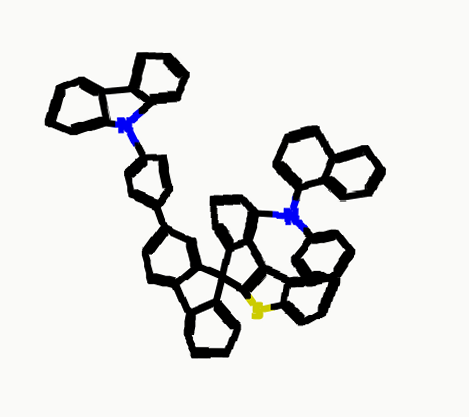 c1ccc(N(c2cccc3c2-c2c(sc4ccccc24)C32c3ccccc3-c3ccc(-c4ccc(-n5c6ccccc6c6ccccc65)cc4)cc32)c2cccc3ccccc23)cc1